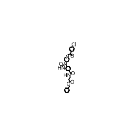 O=C(CCNC(=O)c1ccc2c(c1)[nH]c(=O)n2C1CCN(CC(=O)c2ccc(Cl)cc2)CC1)OCc1ccccc1